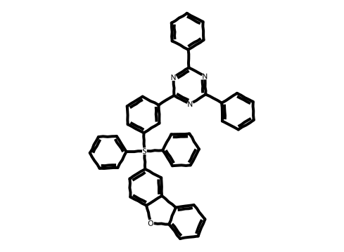 c1ccc(-c2nc(-c3ccccc3)nc(-c3cccc(S(c4ccccc4)(c4ccccc4)c4ccc5oc6ccccc6c5c4)c3)n2)cc1